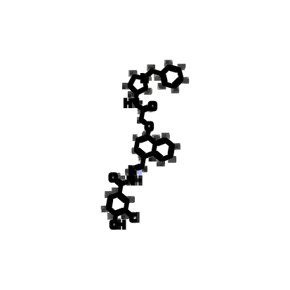 O=C(COc1ccc(/C=N/NC(=O)c2ccc(O)c(Cl)c2)c2ccccc12)NC1CCN(Cc2ccccc2)C1